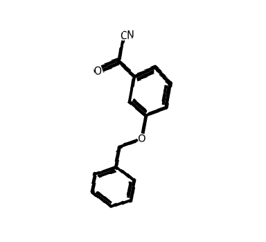 N#CC(=O)c1cccc(OCc2ccccc2)c1